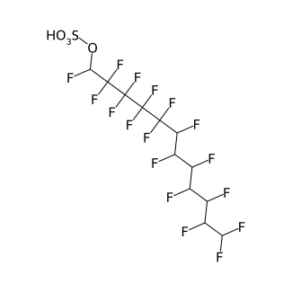 O=S(=O)(O)OC(F)C(F)(F)C(F)(F)C(F)(F)C(F)(F)C(F)C(F)C(F)C(F)C(F)C(F)C(F)F